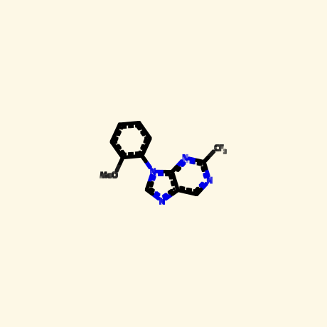 COc1ccccc1-n1cnc2cnc(C(F)(F)F)nc21